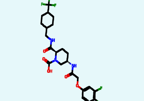 O=C(COc1ccc(Cl)c(F)c1)N[C@H]1CC[C@H](C(=O)NCC2CCC(C(F)(F)F)CC2)N(C(=O)O)C1